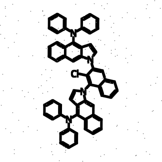 Clc1c(-n2ccc3c(N(c4ccccc4)c4ccccc4)c4ccccc4cc32)cc2ccccc2c1-n1ccc2c(N(c3ccccc3)c3ccccc3)c3ccccc3cc21